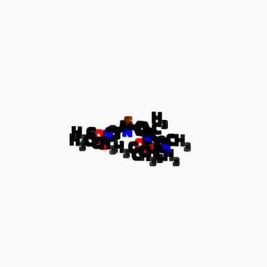 Cc1cc(-c2c(C)c3ccc(-c4nc(C5=CCN(C(=O)OC(C)(C)C)CC5)cs4)cc3n2C(=O)OC(C)(C)C)cc(C)n1